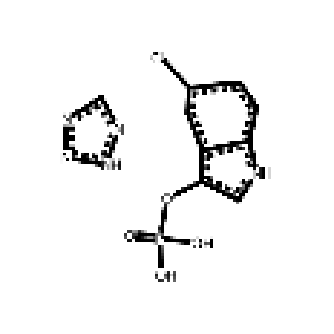 O=P(O)(O)Oc1c[nH]c2ccc(Cl)cc12.c1nn[nH]n1